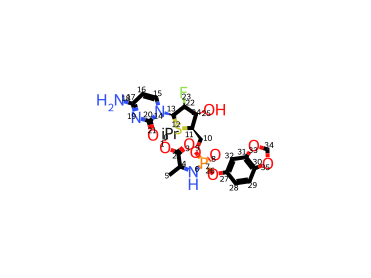 CC(C)OC(=O)C(C)NP(=O)(OC[C@H]1S[C@@H](n2ccc(N)nc2=O)[C@@H](F)[C@@H]1O)Oc1ccc2c(c1)OCO2